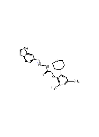 Cc1cc(C)c(OCC(=O)N/N=C/c2ccc3cc[nH]c3c2)c(C2CCOCC2)c1